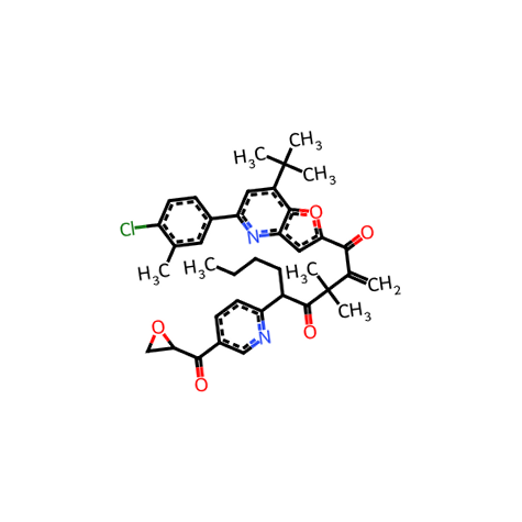 C=C(C(=O)c1cc2nc(-c3ccc(Cl)c(C)c3)cc(C(C)(C)C)c2o1)C(C)(C)C(=O)C(CCCC)c1ccc(C(=O)C2CO2)cn1